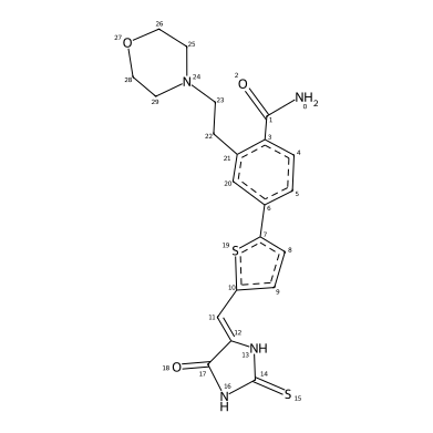 NC(=O)c1ccc(-c2ccc(/C=C3\NC(=S)NC3=O)s2)cc1CCN1CCOCC1